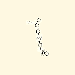 COC1(C2CCCCC2)CCN(c2ccc(-c3nn4cc(-c5ccc(C(=O)On6nnc7ccccc76)cc5)nc4s3)cc2)CC1